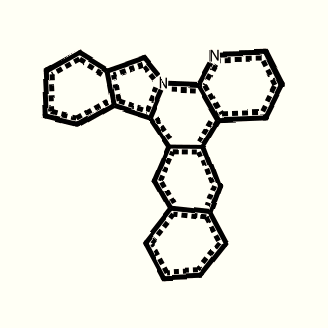 c1ccc2cc3c(cc2c1)c1cccnc1n1cc2ccccc2c31